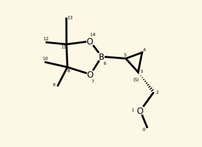 COC[C@H]1CC1B1OC(C)(C)C(C)(C)O1